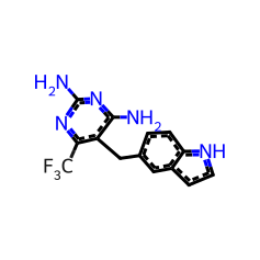 Nc1nc(N)c(Cc2ccc3[nH]ccc3c2)c(C(F)(F)F)n1